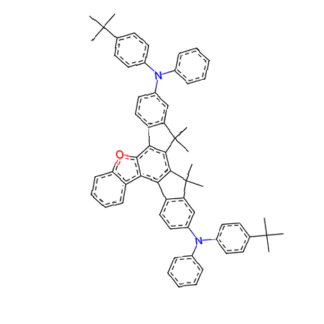 CC(C)(C)c1ccc(N(c2ccccc2)c2ccc3c(c2)C(C)(C)c2c4c(c5c(oc6ccccc65)c2-3)-c2ccc(N(c3ccccc3)c3ccc(C(C)(C)C)cc3)cc2C4(C)C)cc1